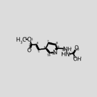 COC(=O)C=Cc1ccc(NNC(=O)O)nc1